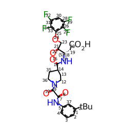 CC(C)(C)c1cccc(NC(=O)C(=O)N2CCC(C(=O)N[C@@H](CC(=O)O)C(=O)COc3c(F)c(F)cc(F)c3F)CC2)c1